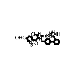 CCCCc1nc(Cl)c(C(=O)c2ccc(C=O)c[n+]2[O-])n1Cc1ccc(-c2ccccc2-c2nnn[nH]2)cc1